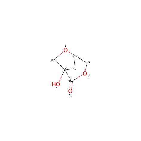 O=C1OCC2CC1(O)CO2